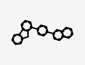 c1ccc2c(c1)Cc1c(-c3ccc(-c4ccc5ccccc5c4)cc3)cccc1-2